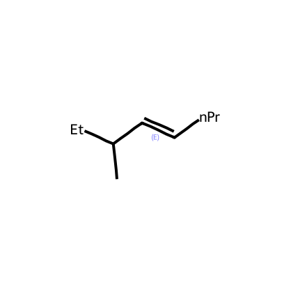 CCC/C=C/C(C)CC